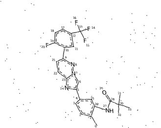 Cc1ccc(-c2cn3nc(-c4cc(C(F)(F)F)ccc4F)ccc3n2)cc1NC(=O)C(C)(C)C